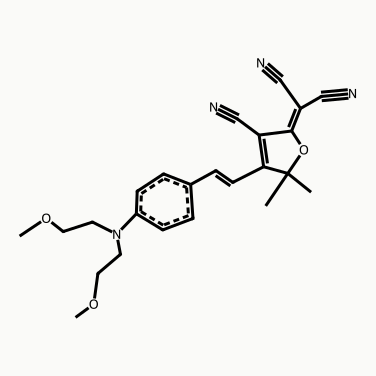 COCCN(CCOC)c1ccc(C=CC2=C(C#N)C(=C(C#N)C#N)OC2(C)C)cc1